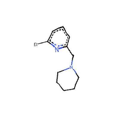 CCc1cccc(CN2CCCCC2)n1